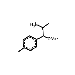 COC(c1ccc(C)cc1)C(C)N